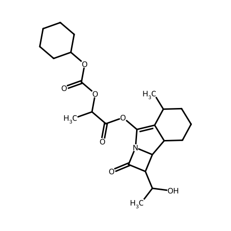 CC1CCCC2C1=C(OC(=O)C(C)OC(=O)OC1CCCCC1)N1C(=O)C(C(C)O)C21